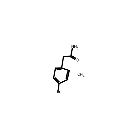 C.NC(=O)Cc1ccc(Br)cc1